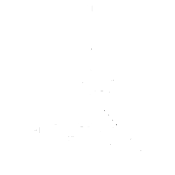 C=CCCCCc1ccc(C=NN=C(c2ccccc2)c2ccc(CCF)cc2)cc1